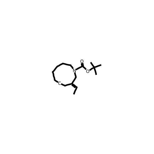 CC=C1CCCCCCCN(C(=O)OC(C)(C)C)C1